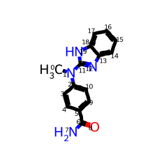 CN(c1ccc(C(N)=O)cc1)c1nc2ccccc2[nH]1